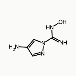 N=C(NO)n1cc(N)cn1